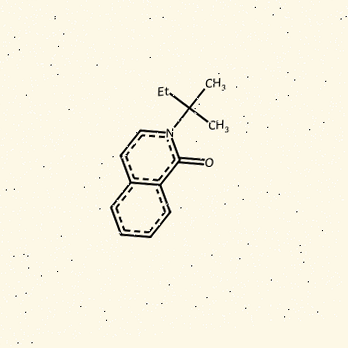 CCC(C)(C)n1ccc2ccccc2c1=O